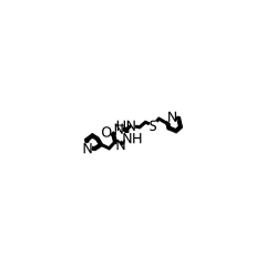 O=c1nc(NCCSCc2ccccn2)[nH]nc1Cc1cccnc1